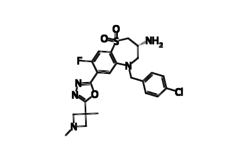 CN1CC(C)(c2nnc(-c3cc4c(cc3F)S(=O)(=O)C[C@H](N)CN4Cc3ccc(Cl)cc3)o2)C1